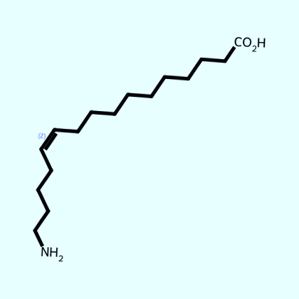 NCCCC/C=C\CCCCCCCCCC(=O)O